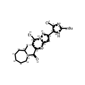 CCCCc1nc(Cl)c(-c2cc3nc(C(=O)N4CCCCCC4C)cc(CC)n3n2)[nH]1